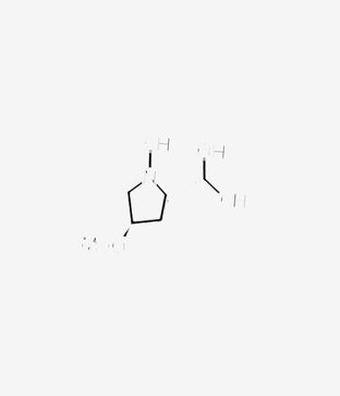 CO[C@@H]1C[C@@H](C(C)O)N(C)C1